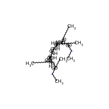 CCCCCC/C=C\CCCC(=O)O[C@H](CCCCCCC)CCOC[C@H](COP(=O)(O)OCCNC(=O)CC(=O)NCCOP(=O)(O)OC[C@@H](COCC[C@@H](CCCCCCC)OC(=O)CCC/C=C\CCCCCC)NC(=O)CC(=O)CCCCCCCCCCC)NC(=O)CC(=O)CCCCCCCCCCC